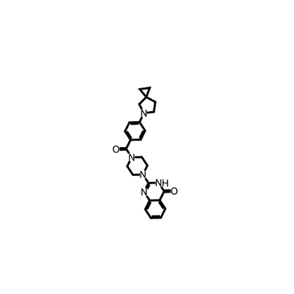 O=C(c1ccc(N2CCC3(CC3)C2)cc1)N1CCN(c2nc3ccccc3c(=O)[nH]2)CC1